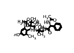 CC(=O)N[C@H](C(=O)NCC(C)(C)NC(=O)[C@@](Cc1c(C)cc(O)cc1C)(OC(N)=O)C(C)(C)C)c1ccccc1